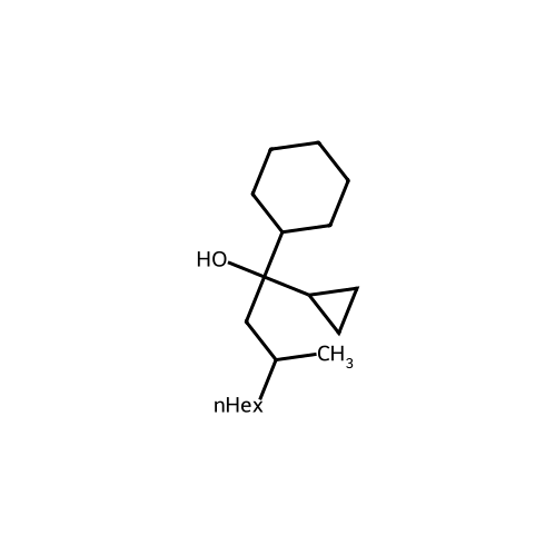 CCCCCCC(C)CC(O)(C1CCCCC1)C1CC1